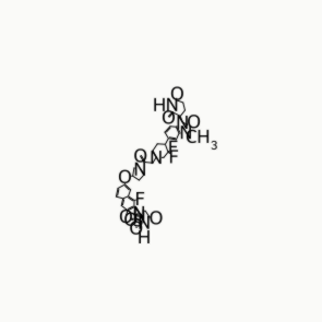 Cn1c(=O)n(C2CCC(=O)NC2=O)c2ccc(C3CCN(CC(=O)N4CC[C@@H](Oc5ccc6cc(O)c(N7CC(=O)NS7(=O)=O)c(F)c6c5)C4)CC3(F)F)cc21